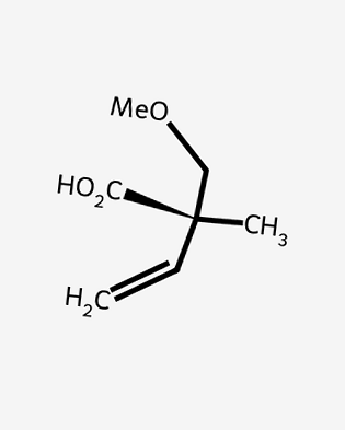 C=C[C@@](C)(COC)C(=O)O